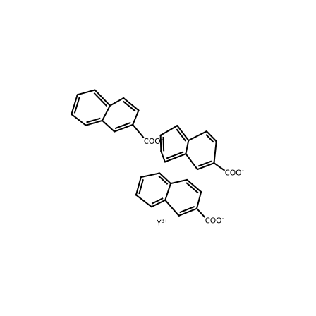 O=C([O-])c1ccc2ccccc2c1.O=C([O-])c1ccc2ccccc2c1.O=C([O-])c1ccc2ccccc2c1.[Y+3]